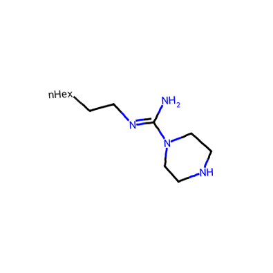 CCCCCCCCN=C(N)N1CCNCC1